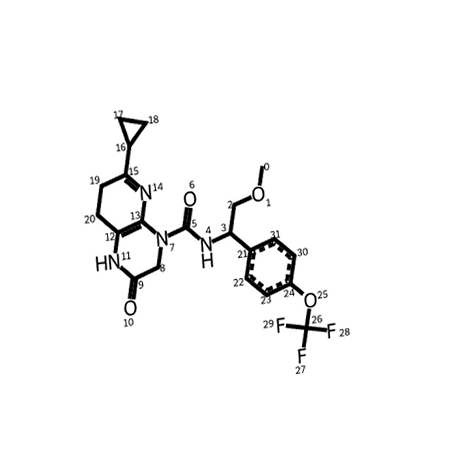 COCC(NC(=O)N1CC(=O)NC2=C1N=C(C1CC1)CC2)c1ccc(OC(F)(F)F)cc1